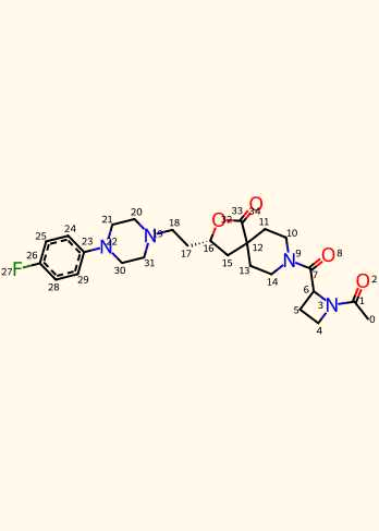 CC(=O)N1CCC1C(=O)N1CCC2(CC1)C[C@H](CCN1CCN(c3ccc(F)cc3)CC1)OC2=O